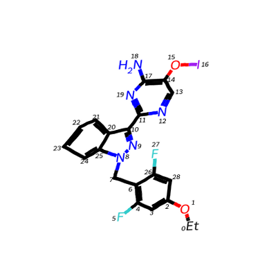 CCOc1cc(F)c(Cn2nc(-c3ncc(OI)c(N)n3)c3ccccc32)c(F)c1